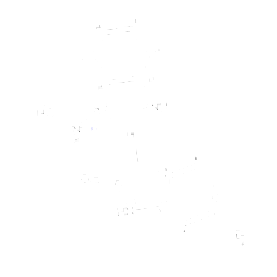 O=C1Nc2cc(Br)ccc2C1C1Nc2ccccc2/C1=N\O